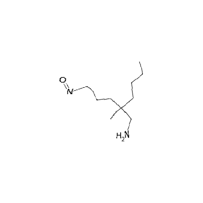 CCCCC(C)(CN)CCCN=O